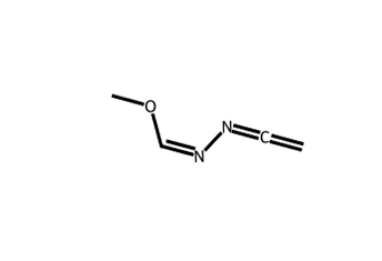 C=C=N/N=C\OC